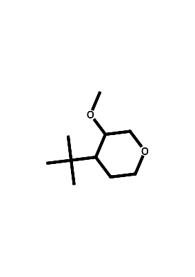 COC1COCCC1C(C)(C)C